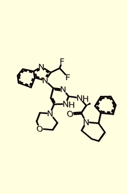 C[C@H](NC1N=C(n2c(C(F)F)nc3ccccc32)C=C(N2CCOCC2)N1)C(=O)N1CCCCC1c1ccccc1